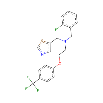 Fc1ccccc1CN(CCOc1ccc(C(F)(F)F)cc1)Cc1cncs1